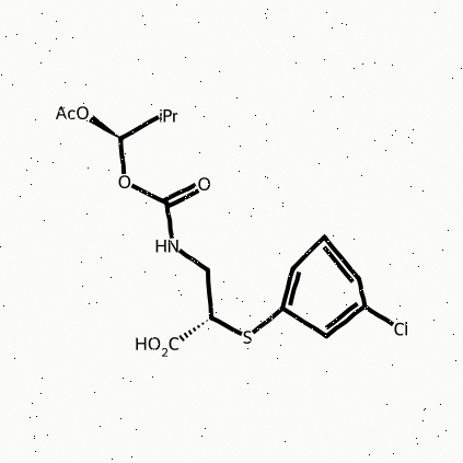 CC(=O)O[C@H](OC(=O)NC[C@H](Sc1cccc(Cl)c1)C(=O)O)C(C)C